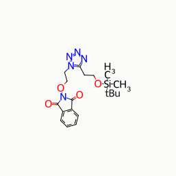 CC(C)(C)[Si](C)(C)OCCc1nnnn1CCON1C(=O)c2ccccc2C1=O